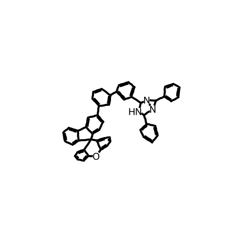 c1ccc(C2NC(c3cccc(-c4cccc(-c5ccc6c(c5)-c5ccccc5C65c6ccccc6Oc6ccccc65)c4)c3)N3C(c4ccccc4)N23)cc1